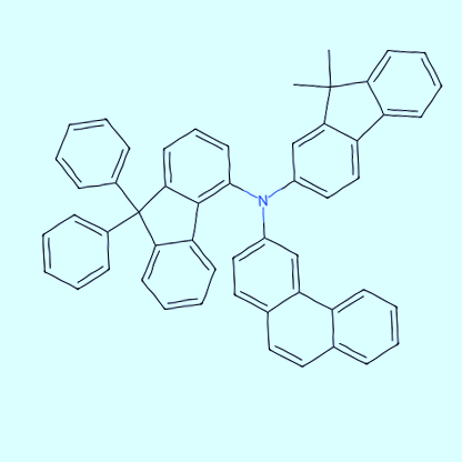 CC1(C)c2ccccc2-c2ccc(N(c3ccc4ccc5ccccc5c4c3)c3cccc4c3-c3ccccc3C4(c3ccccc3)c3ccccc3)cc21